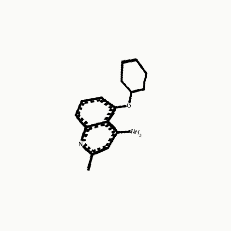 Cc1cc(N)c2c(OC3CCCCC3)cccc2n1